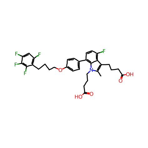 Cc1c(CCCC(=O)O)c2c(F)ccc(-c3ccc(OCCCCc4c(F)cc(F)c(F)c4F)cc3)c2n1CCCC(=O)O